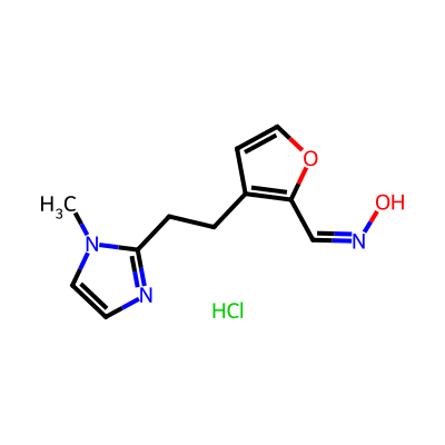 Cl.Cn1ccnc1CCc1ccoc1/C=N\O